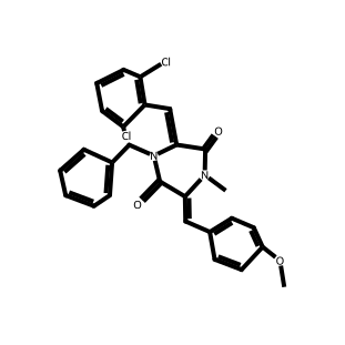 COc1ccc(/C=c2/c(=O)n(Cc3ccccc3)/c(=C\c3c(Cl)cccc3Cl)c(=O)n2C)cc1